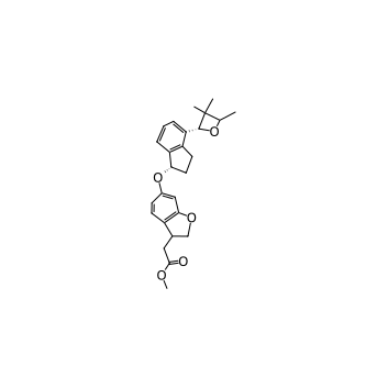 COC(=O)CC1COc2cc(O[C@H]3CCc4c3cccc4[C@H]3OC(C)C3(C)C)ccc21